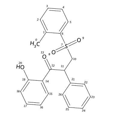 Cc1ccccc1S(=O)(=O)CC(C(=O)c1ccccc1O)c1ccccc1